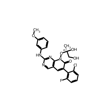 COc1cccc(Nc2ncc3cc(-c4c(F)cccc4Cl)c(=O)n(O[C@@](C)(O)CO)c3n2)c1